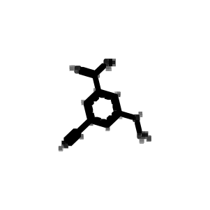 COc1cc(C#N)cc(C(=O)O)c1